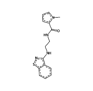 Cn1cccc1C(=O)NCCNc1nsc2ccccc12